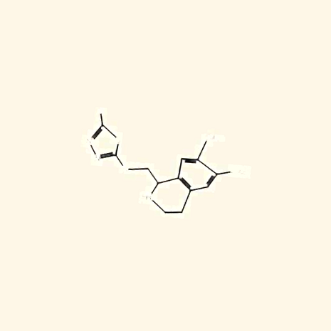 CC(=O)Oc1cc2c(cc1OC(C)=O)C(CSc1nnc(C)s1)NCC2